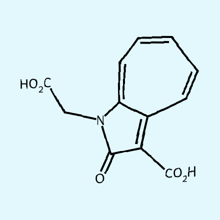 O=C(O)Cn1c2cccccc-2c(C(=O)O)c1=O